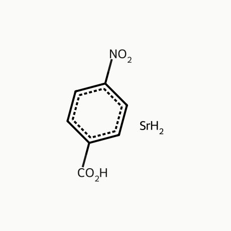 O=C(O)c1ccc([N+](=O)[O-])cc1.[SrH2]